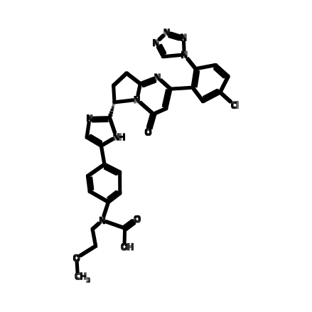 COCCN(C(=O)O)c1ccc(-c2cnc([C@@H]3CCc4nc(-c5cc(Cl)ccc5-n5cnnn5)cc(=O)n43)[nH]2)cc1